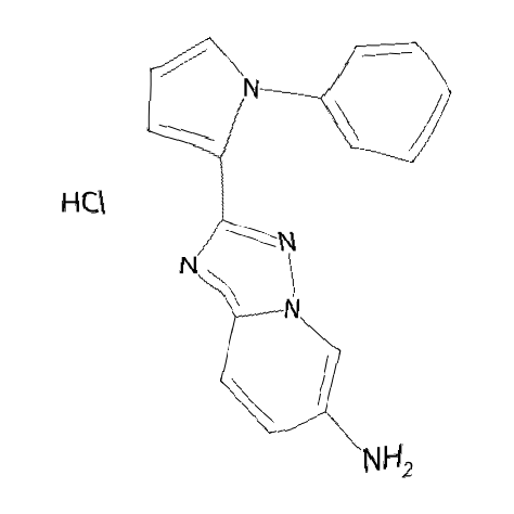 Cl.Nc1ccc2nc(-c3cccn3-c3ccccc3)nn2c1